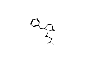 CC[C@@H](O)[C@H](C)C(=O)N1C(=O)OC[C@@H]1Cc1ccccc1